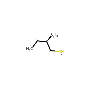 CC[C@@H](C)CS